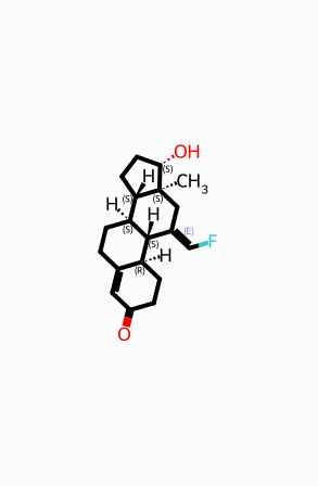 C[C@]12C/C(=C\F)[C@H]3[C@@H](CCC4=CC(=O)CC[C@@H]43)[C@@H]1CC[C@@H]2O